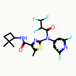 Cc1sc(N(C(=O)C(F)C(F)F)c2cc(F)nc(F)c2)nc1C(=O)NC1CCC1(C)C